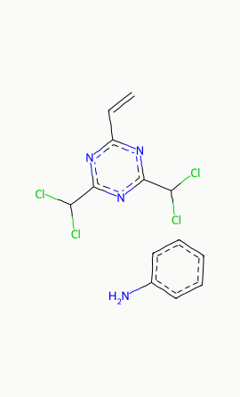 C=Cc1nc(C(Cl)Cl)nc(C(Cl)Cl)n1.Nc1ccccc1